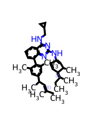 CC/C(C)=C1\C=CC(Nc2nc(NCC3CC3)c3cccc(-c4c(C)cc(C(C)/C=C(\C)CC)cc4C)c3n2)=CC1C